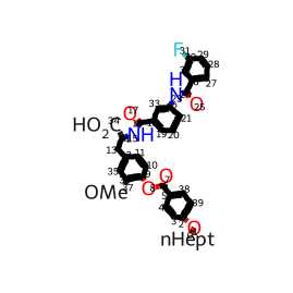 CCCCCCCOc1ccc(C(=O)Oc2ccc(CC(NC(=O)c3cccc(NC(=O)c4cccc(F)c4)c3)C(=O)O)cc2OC)cc1